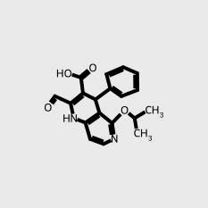 CC(C)Oc1nccc2c1C(c1ccccc1)C(C(=O)O)=C(C=O)N2